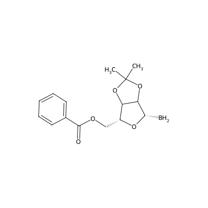 B[C@@H]1O[C@H](COC(=O)c2ccccc2)C2OC(C)(C)OC21